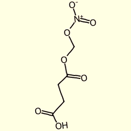 O=C(O)CCC(=O)OCO[N+](=O)[O-]